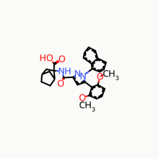 COc1cccc(OC)c1-c1cc(C(=O)NC2(C(=O)O)CC3CCC2C3)nn1-c1cccc2ccccc12